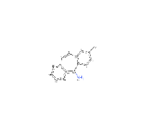 Cc1ccc2c(c1)C=Cc1ccccc1C2N